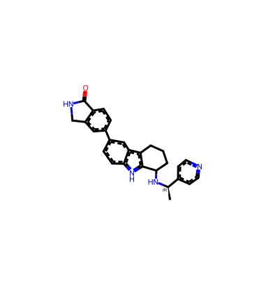 C[C@@H](NC1CCCc2c1[nH]c1ccc(-c3ccc4c(c3)CNC4=O)cc21)c1ccncc1